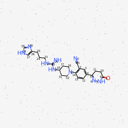 N#Cc1cc(C2=NNC(=O)CC2)ccc1N1CCC(NC(=N)NCCCc2c[nH]cn2)CC1